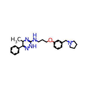 CC1N=C(NCCCOc2cccc(CN3CCCC3)c2)NN=C1c1ccccc1